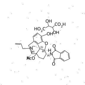 C=CCN1CC[C@]23c4c5ccc(O)c4O[C@H]2[C@H](N2C(=O)c4ccccc4C2=O)CCC3(OC(C)=O)[C@H]1C5.O=C(O)C(O)C(O)C(=O)O